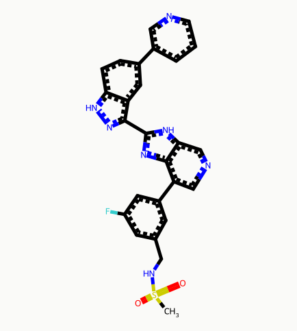 CS(=O)(=O)NCc1cc(F)cc(-c2cncc3[nH]c(-c4n[nH]c5ccc(-c6cccnc6)cc45)nc23)c1